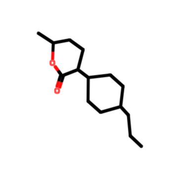 CCCC1CCC(C2CCC(C)OC2=O)CC1